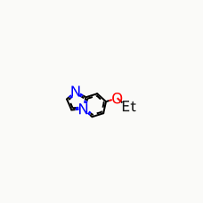 CCOc1ccn2ccnc2c1